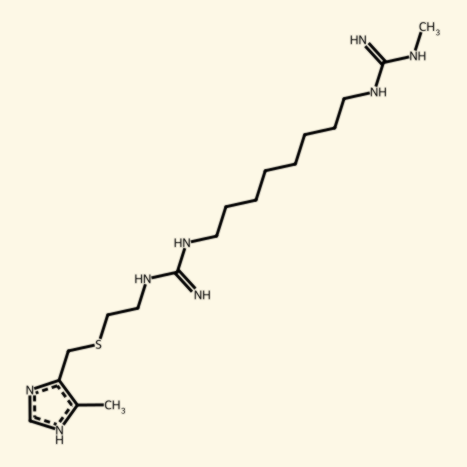 CNC(=N)NCCCCCCCCNC(=N)NCCSCc1nc[nH]c1C